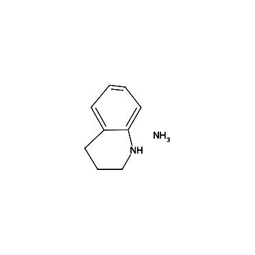 N.c1ccc2c(c1)CCCN2